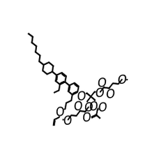 C=CCOCCCc1cc(-c2ccc(C3CCC(CCCCCCC)CC3)cc2CC)ccc1OCC(COC(=O)C(=C)C)(COC(=O)C(=O)CCOC)COC(=O)C(=O)CCOC